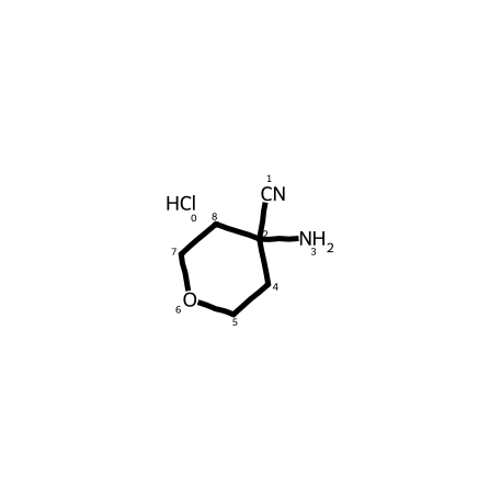 Cl.N#CC1(N)CCOCC1